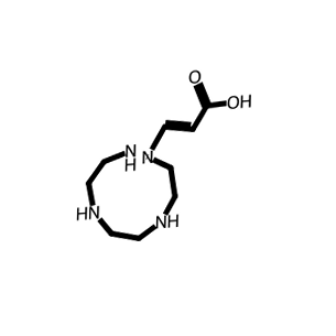 O=C(O)C=CN1CCNCCNCCN1